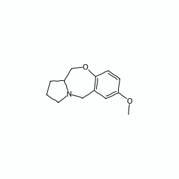 COc1ccc2c(c1)CN1CCCC1CO2